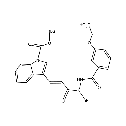 CC(C)N(NC(=O)c1cccc(OCC(=O)O)c1)C(=O)/C=C/c1cn(C(=O)OC(C)(C)C)c2ccccc12